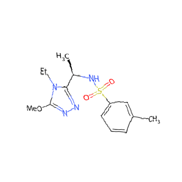 CCn1c(OC)nnc1[C@@H](C)NS(=O)(=O)c1cccc(C)c1